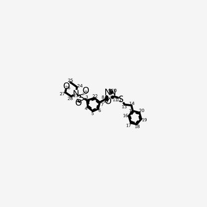 O=S(=O)(c1cccc(-c2nnc(SCCc3ccccc3)o2)c1)N1CCOCC1